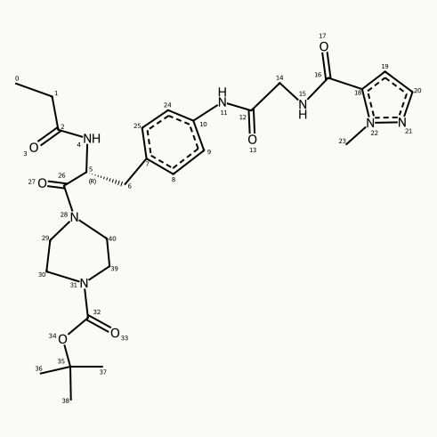 CCC(=O)N[C@H](Cc1ccc(NC(=O)CNC(=O)c2ccnn2C)cc1)C(=O)N1CCN(C(=O)OC(C)(C)C)CC1